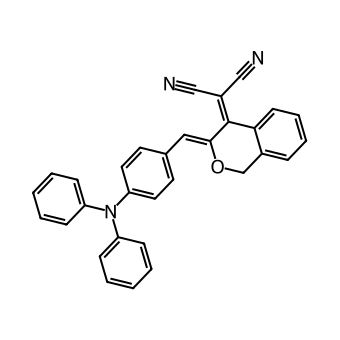 N#CC(C#N)=C1C(=Cc2ccc(N(c3ccccc3)c3ccccc3)cc2)OCc2ccccc21